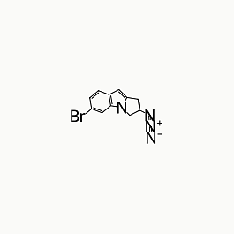 [N-]=[N+]=NC1Cc2cc3ccc(Br)cc3n2C1